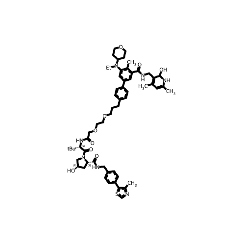 CCN(c1cc(-c2ccc(CCCOCCOCC(=O)N[C@H](C(=O)N3C[C@H](O)C[C@H]3C(=O)NCc3ccc(-c4scnc4C)cc3)C(C)(C)C)cc2)cc(C(=O)NCC2=C(C)C=C(C)NC2O)c1C)C1CCOCC1